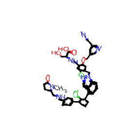 CN1C(=O)CCC1CNCc1ccc(-c2cccc(-c3cccc4c3cnn4Cc3cc(OCc4cncc(C#N)c4)c(CNC(CO)C(=O)O)cc3Cl)c2Cl)cc1